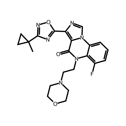 CC1(c2noc(-c3ncn4c3c(=O)n(CCN3CCOCC3)c3c(F)cccc34)n2)CC1